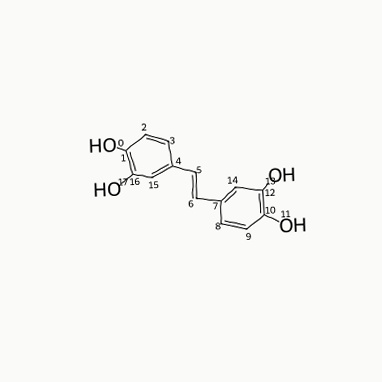 Oc1ccc(/C=C/c2ccc(O)c(O)c2)cc1O